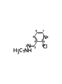 CN/N=C/c1cccnc1Cl